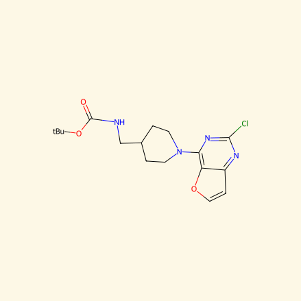 CC(C)(C)OC(=O)NCC1CCN(c2nc(Cl)nc3ccoc23)CC1